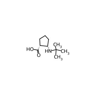 CC(C)(C)N[C@H]1CCC[C@H]1C(=O)O